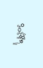 COc1cnc(-n2ccc(CCO)n2)c2[nH]cc(C(=O)C(=O)N3CCN(C(=O)c4ccccc4)CC3)c12